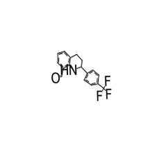 O=Cc1cccc2c1NC(c1ccc(C(F)(F)F)cc1)CC2